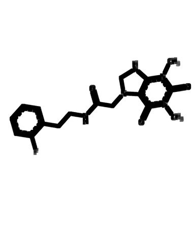 Cn1c2c(c(=O)n(C)c1=O)N(CC(=O)NCCc1ccccc1F)CN2